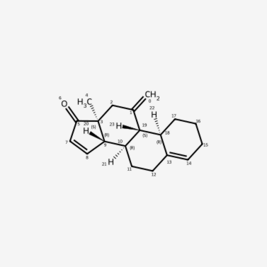 C=C1C[C@]2(C)C(=O)C=C[C@H]2[C@@H]2CCC3=CCCC[C@@H]3[C@@H]12